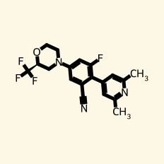 Cc1cc(-c2c(F)cc(N3CCO[C@H](C(F)(F)F)C3)cc2C#N)cc(C)n1